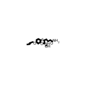 CC#CCOc1ccc(SC(CCCC(N)=O)C(=O)NO)cc1